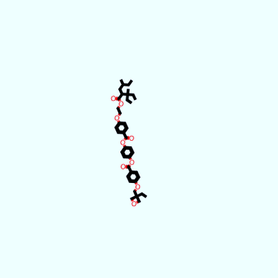 CCC(C)CC(C(=O)OCCOc1ccc(C(=O)Oc2ccc(OC(=O)c3ccc(OCC4(CC)COC4)cc3)cc2)cc1)C(C)(CC)CC